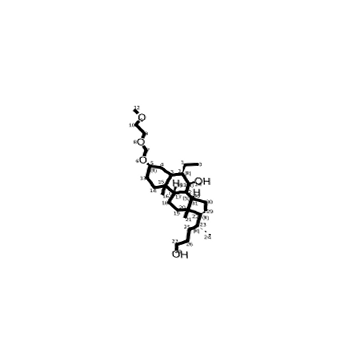 CC[C@@H]1C2C[C@H](OCOCCOC)CCC2(C)[C@H]2CCC3(C)[C@@H]([C@H](C)CCCO)CC[C@H]3C2[C@@H]1O